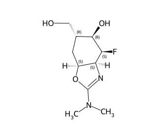 CN(C)C1=N[C@@H]2[C@H](F)[C@H](O)[C@@H](CO)C[C@@H]2O1